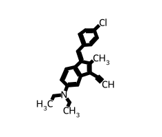 C#CC1=C(C)C(=Cc2ccc(Cl)cc2)c2ccc(N(CC)CC)cc21